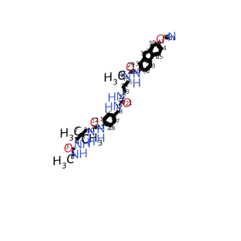 CNC(=O)NCC(C)(C)CNC(=O)Nc1ccc(CNC(=O)NCCCN(C)C(=O)Nc2ccc3c(c2)Cc2cc(OC#N)ccc2-3)cc1